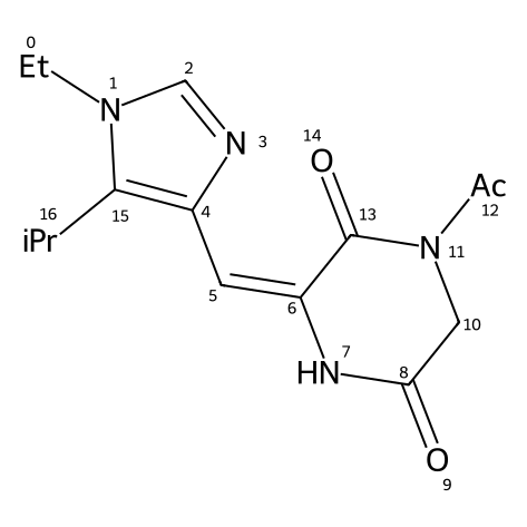 CCn1cnc(C=C2NC(=O)CN(C(C)=O)C2=O)c1C(C)C